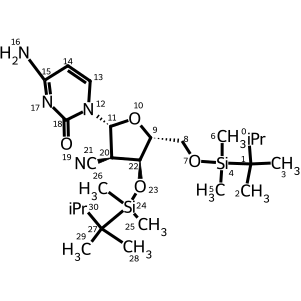 CC(C)C(C)(C)[Si](C)(C)OC[C@H]1O[C@@H](n2ccc(N)nc2=O)[C@H](C#N)[C@@H]1O[Si](C)(C)C(C)(C)C(C)C